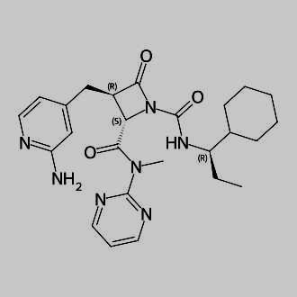 CC[C@@H](NC(=O)N1C(=O)[C@H](Cc2ccnc(N)c2)[C@H]1C(=O)N(C)c1ncccn1)C1CCCCC1